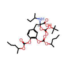 CCCC(C)OC(=O)Oc1ccc(C[C@](NC(C)CC)(OC(=O)OC(C)(C)C)C(=O)O)cc1OC(=O)OC(C)CCC